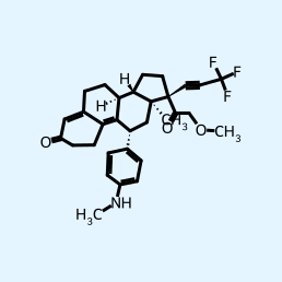 CNc1ccc([C@H]2C[C@@]3(C)[C@@H](CC[C@]3(C#CC(F)(F)F)C(=O)COC)[C@@H]3CCC4=CC(=O)CCC4=C32)cc1